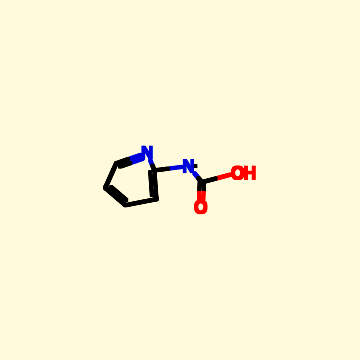 O=C(O)[N]c1ccccn1